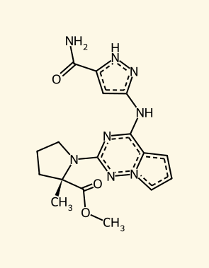 COC(=O)[C@]1(C)CCCN1c1nc(Nc2cc(C(N)=O)[nH]n2)c2cccn2n1